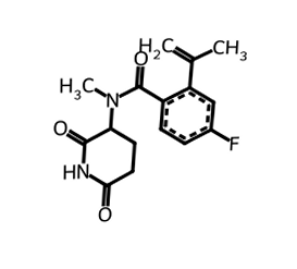 C=C(C)c1cc(F)ccc1C(=O)N(C)C1CCC(=O)NC1=O